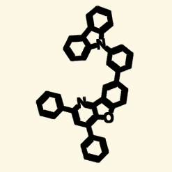 c1ccc(-c2cc(-c3ccccc3)c3oc4ccc(-c5cccc(-n6c7ccccc7c7ccccc76)c5)cc4c3n2)cc1